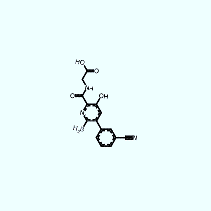 Bc1nc(C(=O)NCC(=O)O)c(O)cc1-c1cccc(C#N)c1